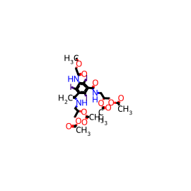 C=C(NCC(COC(C)=O)OC(C)=O)c1c(I)c(NC(=O)COC)c(I)c(C(=O)NCC(COC(C)=O)OC(C)=O)c1I